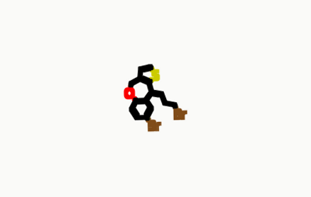 BrCCC=C1c2cc(Br)ccc2OCc2ccsc21